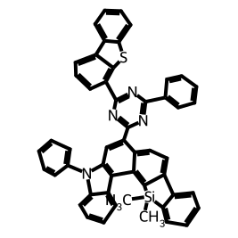 C[Si]1(C)c2ccccc2-c2ccc3c(-c4nc(-c5ccccc5)nc(-c5cccc6c5sc5ccccc56)n4)cc4c(c5ccccc5n4-c4ccccc4)c3c21